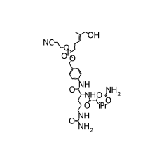 C/C(=C\CCP(=O)(OCCC#N)OCc1ccc(NC(=O)C(CCCNC(N)=O)NC(=O)C(OC(N)=O)C(C)C)cc1)CO